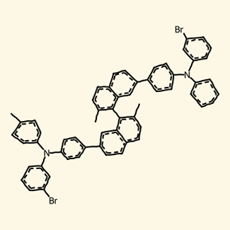 Cc1ccc(N(c2ccc(-c3ccc4ccc(C)c(-c5c(C)ccc6ccc(-c7ccc(N(c8ccccc8)c8cccc(Br)c8)cc7)cc56)c4c3)cc2)c2cccc(Br)c2)cc1